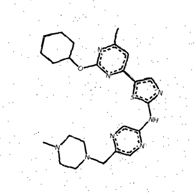 Cc1cc(-c2cnc(Nc3cnc(CN4CCN(C)CC4)cn3)s2)nc(OC2CCCCC2)n1